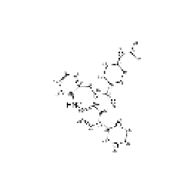 CC(C)O[C@H]1CC[C@H](C(=O)N2Cc3cccnc3Nc3ccc(C4COCCO4)cc32)CC1